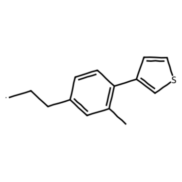 [CH2]CCc1ccc(-c2ccsc2)c(C)c1